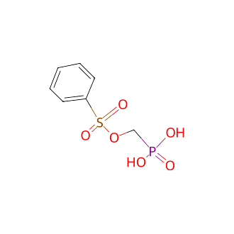 O=P(O)(O)COS(=O)(=O)c1ccccc1